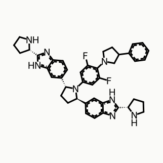 Fc1cc(N2[C@@H](c3ccc4nc([C@@H]5CCCN5)[nH]c4c3)CC[C@@H]2c2ccc3nc([C@@H]4CCCN4)[nH]c3c2)cc(F)c1N1CCC(c2ccccc2)C1